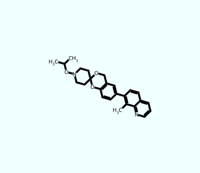 Cc1c(-c2ccc3c(c2)COC2(CCN(OC(C)C)CC2)O3)ccc2cccnc12